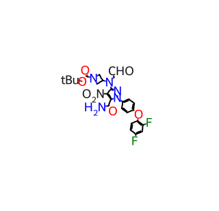 CC(C)(C)OC(=O)N1CC(N(CC=O)c2nn(-c3ccc(Oc4ccc(F)cc4F)cc3)c(C(N)=O)c2[N+](=O)[O-])C1